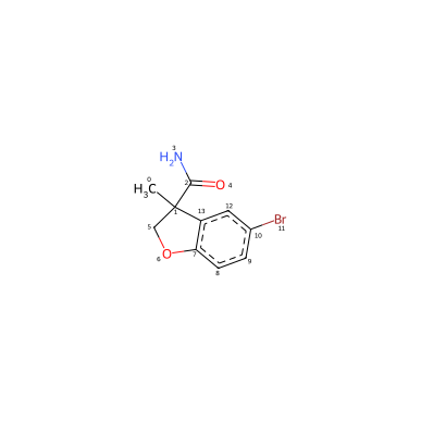 CC1(C(N)=O)COc2ccc(Br)cc21